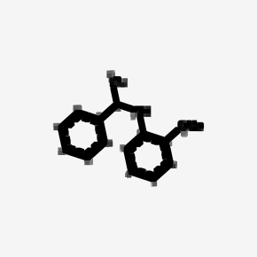 COc1ccccc1NC(c1ccccc1)C(C)(C)C